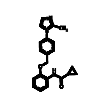 Cc1nccn1-c1ccc(COc2ccccc2NC(=O)C2CC2)cc1